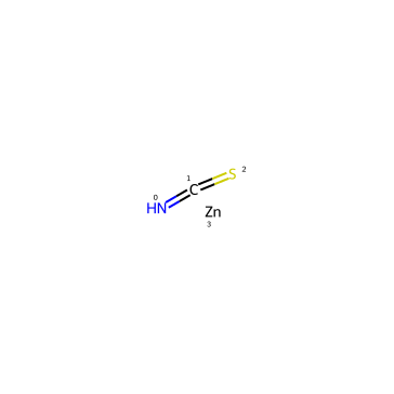 N=C=S.[Zn]